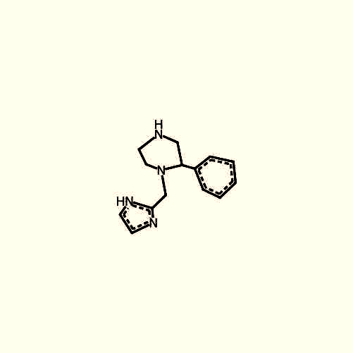 c1ccc(C2CNCCN2Cc2ncc[nH]2)cc1